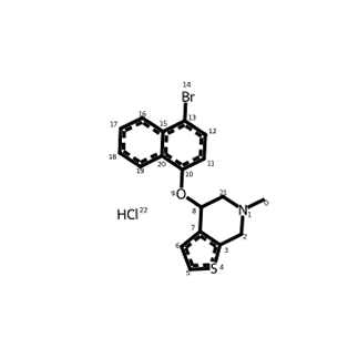 CN1Cc2sccc2C(Oc2ccc(Br)c3ccccc23)C1.Cl